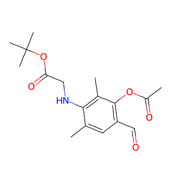 CC(=O)Oc1c(C=O)cc(C)c(NCC(=O)OC(C)(C)C)c1C